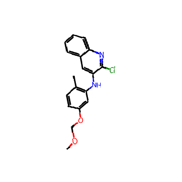 COCOc1ccc(C)c(Nc2cc3ccccc3nc2Cl)c1